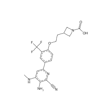 CNc1cc(-c2ccc(OCCC3CN(C(=O)O)C3)c(C(F)(F)F)c2)nc(C#N)c1N